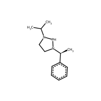 CC(C)N1CCN([C@@H](C)c2ccccc2)P1